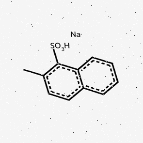 Cc1ccc2ccccc2c1S(=O)(=O)O.[Na]